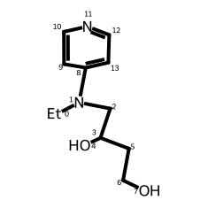 CCN(CC(O)CCO)c1ccncc1